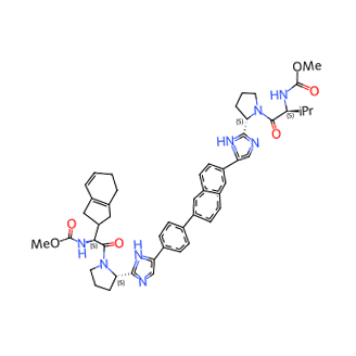 COC(=O)N[C@H](C(=O)N1CCC[C@H]1c1ncc(-c2ccc3cc(-c4ccc(-c5cnc([C@@H]6CCCN6C(=O)[C@@H](NC(=O)OC)C6CC7=C(CCC=C7)C6)[nH]5)cc4)ccc3c2)[nH]1)C(C)C